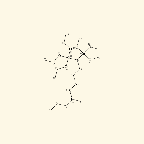 CCCN(C)SSCCC([Si](OC)(OC)OC)[Si](OCC)(OCC)OCC